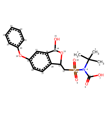 CC(C)(C)N(C(=O)O)S(=O)(=O)CC1OB(O)c2cc(Oc3ccccc3)ccc21